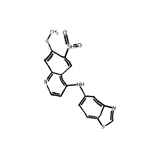 COc1cc2nccc(Nc3ccc4scnc4c3)c2cc1[SH](=O)=O